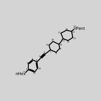 CCCCCCc1ccc(C#CC2CCC(C3CCC(CCCCC)CC3)CC2)cc1